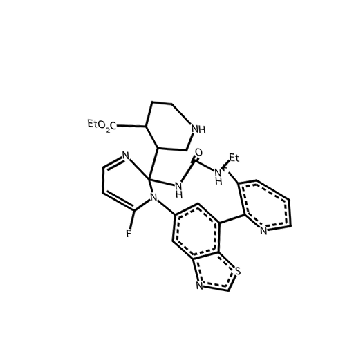 CCNC(=O)NC1(C2CNCCC2C(=O)OCC)N=CC=C(F)N1c1cc(-c2ncccc2F)c2scnc2c1